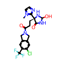 Cn1ccnc1[C@]1(CCC(=O)N2Cc3cc(Cl)c(C(F)(F)F)cc3C2)NC(O)NC1=O